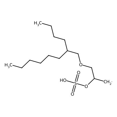 [CH2]C(COCC(CCCC)CCCCCC)OS(=O)(=O)O